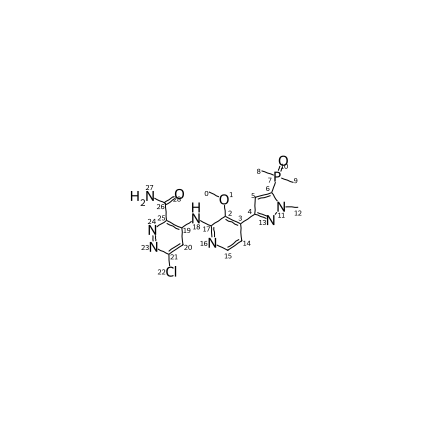 COc1c(-c2cc(P(C)(C)=O)n(C)n2)ccnc1Nc1cc(Cl)nnc1C(N)=O